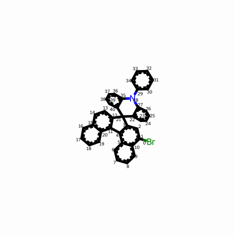 Brc1cc2c(c3ccccc13)-c1c(ccc3ccccc13)C21c2ccccc2N(c2ccccc2)c2ccccc21